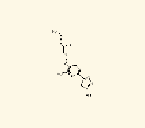 CCCC(=O)CCOc1ccc(C2=NN=C(C)C2)cc1C